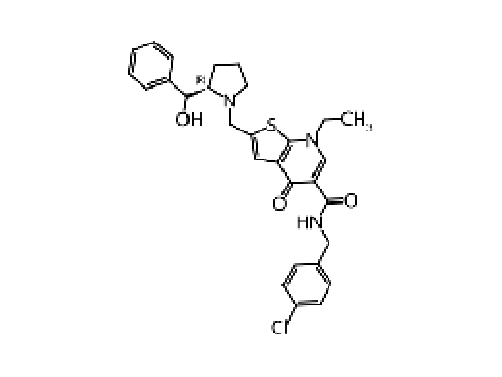 CCn1cc(C(=O)NCc2ccc(Cl)cc2)c(=O)c2cc(CN3CCC[C@@H]3C(O)c3ccccc3)sc21